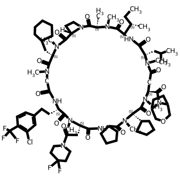 CC[C@H](C)[C@@H]1NC(=O)[C@H](CC(C)C)N(C)C(=O)C[C@@H](C(=O)N2C3CCC2COC3)N(C)C(=O)[C@H](C2CCCC2)N(C)C(=O)C2(CCCC2)NC(=O)[C@H](CC(=O)N2CCC(F)(F)CC2)N(C)C(=O)[C@H](CCc2ccc(C(F)(F)F)c(Cl)c2)NC(=O)CN(C)C(=O)[C@H](CC2CCCCC2)N(C)C(=O)[C@@H]2CCN2C(=O)[C@H](C)N(C)C1=O